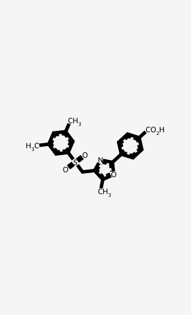 Cc1cc(C)cc(S(=O)(=O)Cc2nc(-c3ccc(C(=O)O)cc3)oc2C)c1